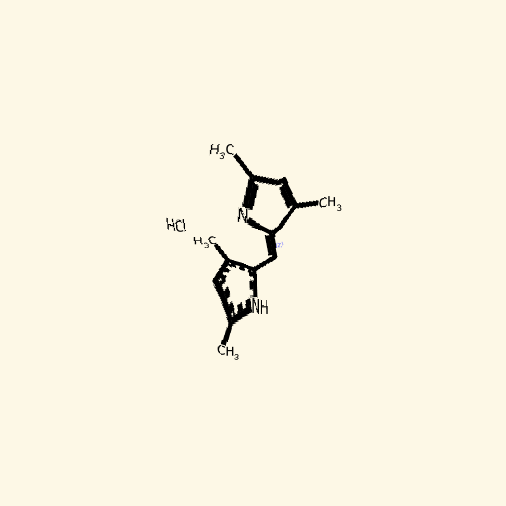 CC1=CC(C)=N/C1=C\c1[nH]c(C)cc1C.Cl